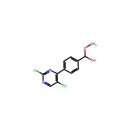 COC(O)c1ccc(-c2nc(Cl)ncc2Cl)cc1